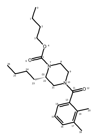 CCCCOC(=O)N1CCN(C(=O)c2cccc(C)c2C)C[C@@H]1CCCC